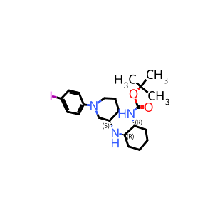 CC(C)(C)OC(=O)N[C@@H]1CCCC[C@H]1N[C@H]1CCCN(c2ccc(I)cc2)C1